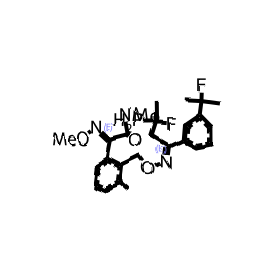 CNC(=O)/C(=N/OC)c1cccc(C)c1CO/N=C(\CC(C)(F)P)c1cccc(C(C)(C)F)c1